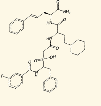 NC(=O)[C@H](C/C=C/c1ccccc1)NC(=O)C(CCC1CCCCC1)NC(=O)CP(=O)(O)C(Cc1ccccc1)NC(=O)c1cccc(F)c1